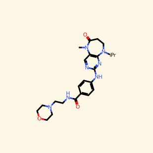 CC(C)N1CCC(=O)N(C)c2cnc(Nc3ccc(C(=O)NCCN4CCOCC4)cc3)nc21